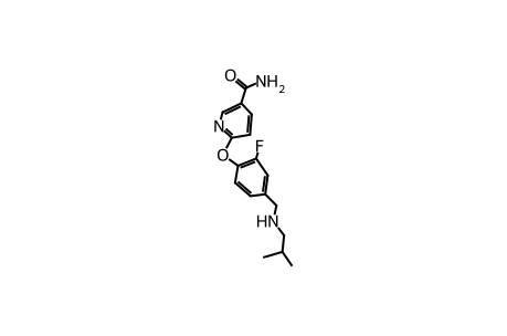 CC(C)CNCc1ccc(Oc2ccc(C(N)=O)cn2)c(F)c1